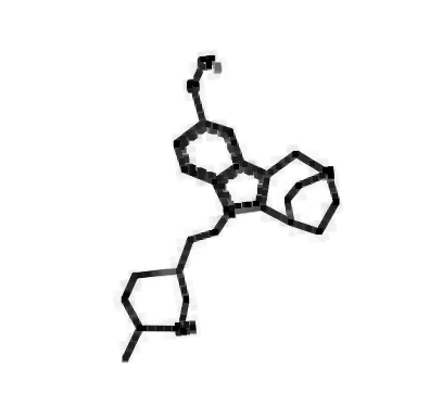 CC1CCC(CCn2c3c(c4cc(OC(F)(F)F)ccc42)CN2CCC3CC2)CN1